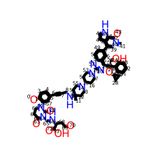 COc1ccc(C#CCNC2(C)CCN(C3CCN(c4nc([C@@](CO)(OC5CC5)c5ccccc5)c5cc(-c6cn(C)c(=O)c7[nH]ccc67)ccc5n4)CC3)CC2)cc1N1CCC(=O)N(CNC(CC=O)C(=O)O)C1=O